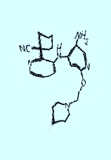 N#CC1(c2ncccc2Nc2cc(OCCN3CCCCC3)ncc2N)CCC1